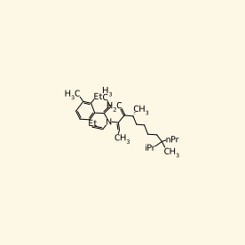 C=C(/C(=C/C)N(/C=C\CC)/C(=C/C)c1cccc(C)c1CC)[C@H](C)CCCCC(C)(CCC)C(C)C